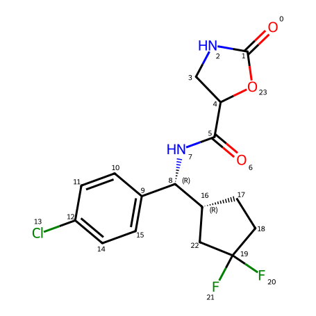 O=C1NCC(C(=O)N[C@@H](c2ccc(Cl)cc2)[C@@H]2CCC(F)(F)C2)O1